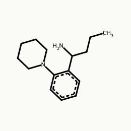 CCCC(N)c1ccccc1N1CCCCC1